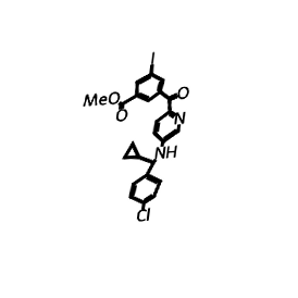 COC(=O)c1cc(I)cc(C(=O)c2ccc(NC(c3ccc(Cl)cc3)C3CC3)cn2)c1